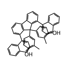 Cc1cc(C2(c3ccc(O)c(C)c3)c3c(cccc3-c3cccc4ccccc34)-c3cccc(-c4cccc5ccccc45)c32)ccc1O